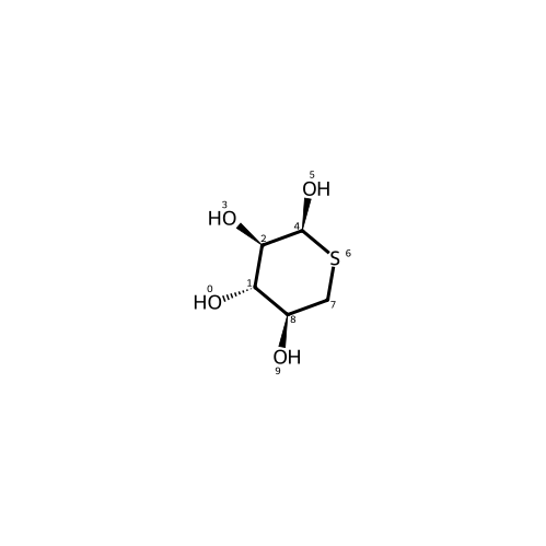 O[C@@H]1[C@@H](O)[C@@H](O)SC[C@H]1O